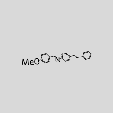 COc1ccc(C=Nc2ccc(C=Cc3ccccc3)cc2)cc1